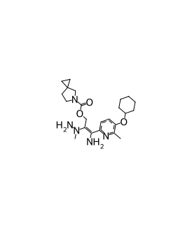 Cc1nc(/C(N)=C(\COC(=O)N2CCC3(CC3)C2)N(C)N)ccc1OC1CCCCC1